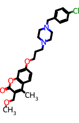 COCc1c(C)c2ccc(OCCCN3CCN(Cc4ccc(Cl)cc4)CC3)cc2oc1=O